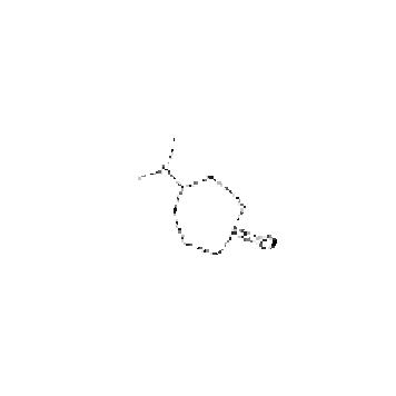 CN(C)C1CCCC(=O)CC1